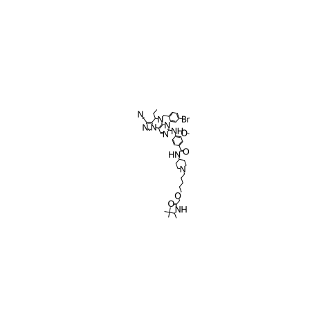 CCC1c2c(C#N)ncn2-c2cnc(Nc3ccc(C(=O)NC4CCN(CCCCCOCC(=O)NC(C)C(C)(C)C)CC4)cc3OC)nc2N1Cc1ccc(Br)cc1